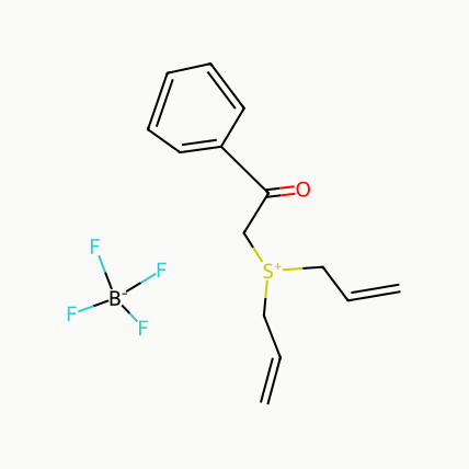 C=CC[S+](CC=C)CC(=O)c1ccccc1.F[B-](F)(F)F